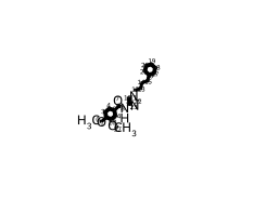 COc1ccc(C(=O)Nc2cn(CCCCc3ccccc3)cn2)cc1OC